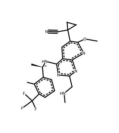 CNCc1nc(N[C@H](C)c2cccc(C(F)(F)F)c2C)c2cc(C3(C#N)CC3)c(OC)nc2n1